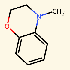 [CH2]N1CCOc2ccccc21